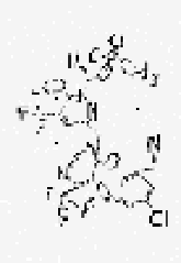 CP(C)(=O)OCn1nc(Cn2cnc(C(F)(F)F)c(Oc3cc(Cl)cc(C#N)c3)c2=O)cc(C(F)(F)F)c1=O